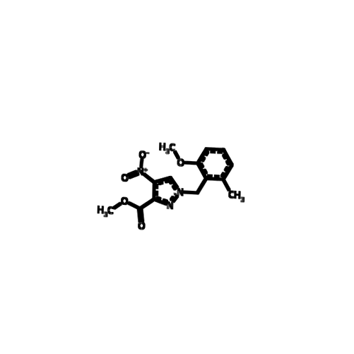 COC(=O)c1nn(Cc2c(C)cccc2OC)cc1[N+](=O)[O-]